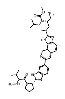 COC(=O)N[C@H](CC(CCCN)c1nc2c([nH]1)C1CN=C(c3ccc4nc([C@@H]5CCCN5C(=O)[C@@H](NO)C(C)C)[nH]c4c3)C=C1C=C2)C(C)C